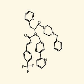 O=C([C@H](Cc1ccccn1)N(Cc1ccc(-c2ccccn2)cc1)C(=O)C=Cc1ccc(C(F)(F)F)cc1)N1CCN(Cc2ccccc2)CC1